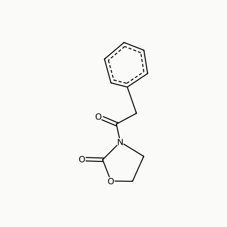 O=C(Cc1ccccc1)N1CCOC1=O